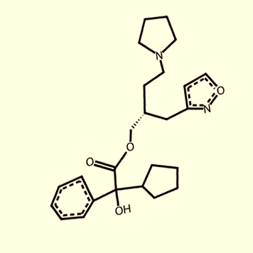 O=C(OC[C@H](CCN1CCCC1)Cc1ccon1)C(O)(c1ccccc1)C1CCCC1